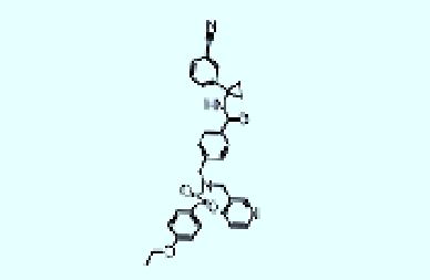 CCOc1ccc(S(=O)(=O)N(Cc2ccc(C(=O)NC3(c4cccc(C#N)c4)CC3)cc2)Cc2cccnc2)cc1